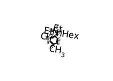 CCCCCC[N+](CC)(CC)c1ccc(C)cc1.[Cl-]